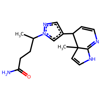 CC(CCC(N)=O)n1cc(C2C=CN=C3NC=CC32C)cn1